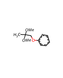 COC(C)(COc1[c]cccc1)OC